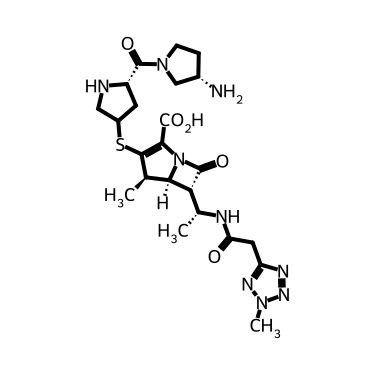 C[C@@H](NC(=O)Cc1nnn(C)n1)[C@H]1C(=O)N2C(C(=O)O)=C(SC3CN[C@H](C(=O)N4CC[C@H](N)C4)C3)[C@H](C)[C@H]12